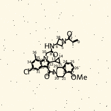 C=CC(=O)N1CC(NC(=O)Cn2c(C3CC3)c(C(=O)N3CCc4c(cccc4OC)C3)c3cc(Cl)cc(C)c32)C1